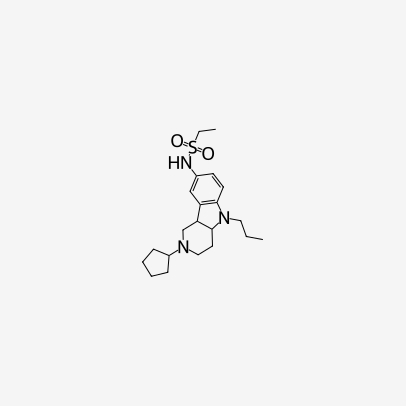 CCCN1c2ccc(NS(=O)(=O)CC)cc2C2CN(C3CCCC3)CCC21